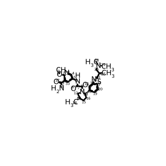 COc1ncc(NC(=O)C(=O)N2C[C@@H](C)CC[C@@H]2c2ccc3sc(C(C)CN(C)C)nc3c2)cc1C(N)=O